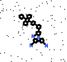 N#Cc1ccc2c(c1)c1cc(C#N)ccc1n2-c1ccc(-c2cccc(-c3ccc(-c4c5ccccc5c(-c5ccccc5)c5ccccc45)cc3)c2)cc1C#N